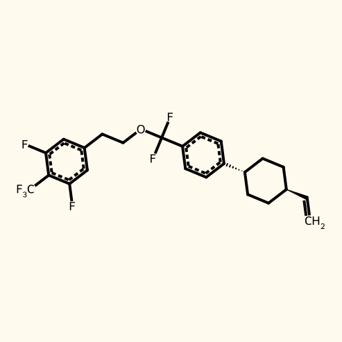 C=C[C@H]1CC[C@H](c2ccc(C(F)(F)OCCc3cc(F)c(C(F)(F)F)c(F)c3)cc2)CC1